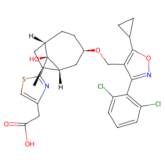 C[C@H]1C[C@@H]2CC[C@@H](OCc3c(-c4c(Cl)cccc4Cl)noc3C3CC3)C[C@H]1[C@]2(O)c1nc(CC(=O)O)cs1